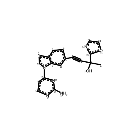 CC(O)(C#Cc1ccc2ncn(-c3ccnc(N)n3)c2c1)c1ncco1